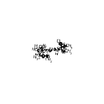 Cc1ncsc1-c1ccc([C@H](C)NC(=O)[C@@H]2C[C@@H](O)CN2C(=O)[C@@H](NC(=O)COc2ccc(N3CC[C@@H](NC(=O)C[C@@H]4N=C(c5ccc(Cl)cc5)c5c(sc(C)c5C)-n5c(C)nnc54)C3)nc2)C(C)(C)C)cc1